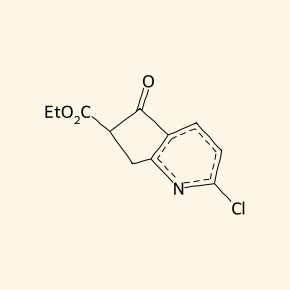 CCOC(=O)C1Cc2nc(Cl)ccc2C1=O